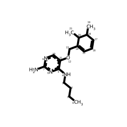 CCCCNc1nc(N)ncc1OCC1=CC=CC(C)C1C